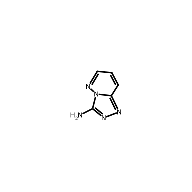 Nc1nnc2cccnn12